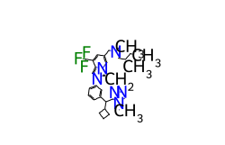 C=C1N2C=C(CN(C)CC(C)CC)C=C(C(F)(F)F)C2=CN1c1cccc(C(c2nncn2C)C2CCC2)c1